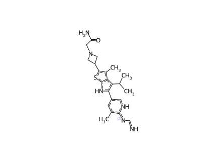 Cc1cc(-c2[nH]c3sc(C4CN(CC(N)=O)C4)c(C)c3c2C(C)C)c[nH]/c1=N\C=N